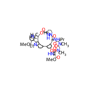 CCn1c(-c2cnccc2COC)c2c3cc(ccc31)-c1cc(O)cc(c1)C[C@H](NC(=O)C(C(C)C)N(C)C(=O)CN(C)C(=O)[C@@H]1N[C@H]1C(=O)OC)C(=O)N1CCC[C@H](N1)C(=O)OCC(C)(C)C2